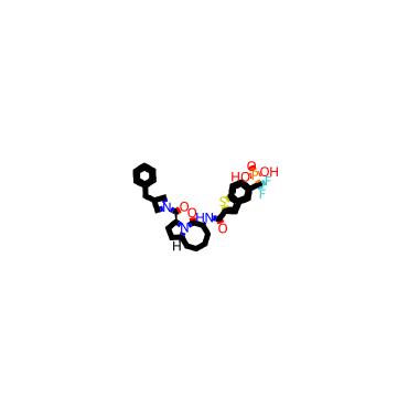 O=C(N[C@H]1CCCC[C@H]2CC[C@@H](C(=O)N3CC(Cc4ccccc4)C3)N2C1=O)c1cc2cc(C(F)(F)P(=O)(O)O)ccc2s1